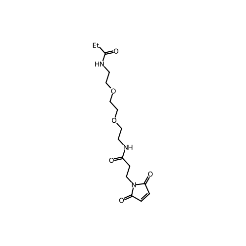 CCC(=O)NCCOCCOCCNC(=O)CCN1C(=O)C=CC1=O